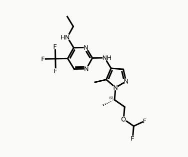 CCNc1nc(Nc2cnn([C@@H](C)COC(F)F)c2C)ncc1C(F)(F)F